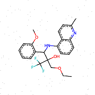 CCOCC(O)(C(Nc1cccc2nc(C)ccc12)c1ccccc1OC)C(F)(F)F